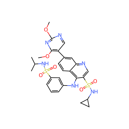 COc1ncc(-c2ccc3c(Nc4cccc(S(=O)(=O)NC(C)C)c4)c(S(=O)(=O)NC4CC4)cnc3c2)c(OC)n1